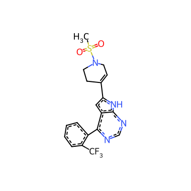 CS(=O)(=O)N1CC=C(c2cc3c(-c4ccccc4C(F)(F)F)ncnc3[nH]2)CC1